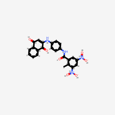 Cc1c(C(=O)Nc2ccc(NC3=CC(=O)c4ccccc4C3=O)cc2)cc([N+](=O)[O-])cc1[N+](=O)[O-]